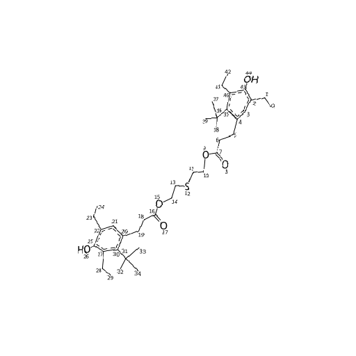 CCc1cc(CCC(=O)OCCSCCOC(=O)CCc2cc(CC)c(O)c(CC)c2C(C)(C)C)c(C(C)(C)C)c(CC)c1O